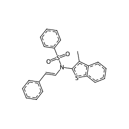 Cc1c(N(C=Cc2ccccc2)S(=O)(=O)c2ccccc2)sc2ccccc12